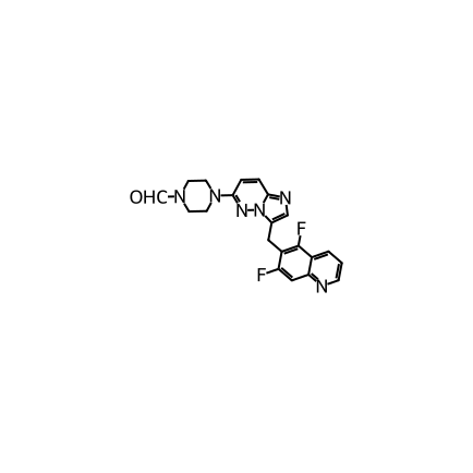 O=CN1CCN(c2ccc3ncc(Cc4c(F)cc5ncccc5c4F)n3n2)CC1